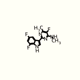 CNc1nc(-c2c[nH]c3c(F)cc(F)cc23)nc(C)c1F